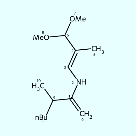 C=C(N/C=C(\C)C(OC)OC)C(C)CCCC